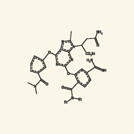 CCOC(=O)C(CC(N)=O)n1c(C)nc2c(Oc3cccc(C(=O)N(C)C)c3)nc(Oc3cc(C(=N)N)ccc3C(=O)N(CC)CC)nc21